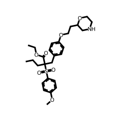 CCCC(Cc1ccc(OCCC2CNCCO2)cc1)(C(=O)OCC)S(=O)(=O)c1ccc(OC)cc1